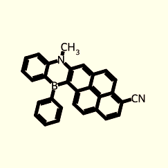 CN1c2ccccc2B(c2ccccc2)c2c1cc1ccc3c(C#N)ccc4ccc2c1c43